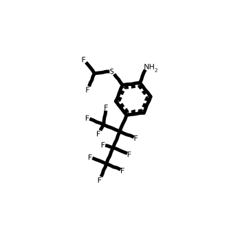 Nc1ccc(C(F)(C(F)(F)F)C(F)(F)C(F)(F)F)cc1SC(F)F